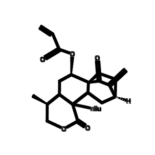 C=CC(=O)O[C@@H]1CC2[C@H](C)COC(=O)C2(CCCC)C2C[C@@H]3CC[C@@]21C(=O)C3=C